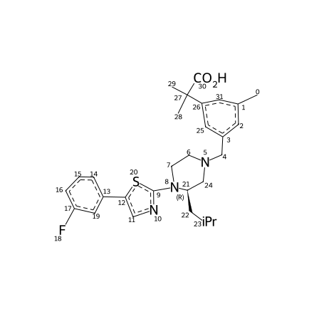 Cc1cc(CN2CCN(c3ncc(-c4cccc(F)c4)s3)[C@H](CC(C)C)C2)cc(C(C)(C)C(=O)O)c1